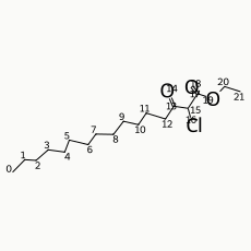 CCCCCCCCCCCCCC(=O)C(Cl)C(=O)OCC